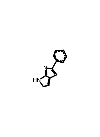 C1=C2C=C(c3ccccc3)N=C2NC1